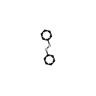 [c]1ccc(OOc2ccccc2)cc1